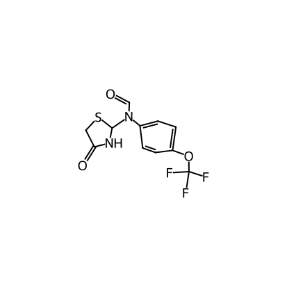 O=CN(c1ccc(OC(F)(F)F)cc1)C1NC(=O)CS1